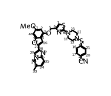 COc1cc(OCc2csc(N3CCN(Sc4ccc(C#N)cc4)CC3)n2)c2cc(-c3cn4nc(C)ccc4n3)oc2c1